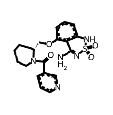 NC1=NS(=O)(=O)Nc2cccc(OC[C@H]3CCCCN3C(=O)c3cccnc3)c21